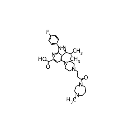 CC(C)c1nn(-c2ccc(F)cc2)c2nc(C(=O)O)cc(N3CCN(CCC(=O)N4CCCN(C)CC4)CC3)c12